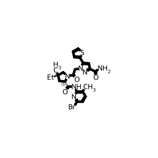 CC[C@]1(C)C[C@@H](C(=O)Nc2nc(Br)ccc2C)N(C(=O)Cn2nc(C(N)=O)cc2-c2cccs2)C1